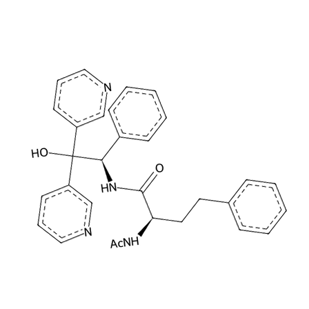 CC(=O)N[C@H](CCc1ccccc1)C(=O)N[C@H](c1ccccc1)C(O)(c1cccnc1)c1cccnc1